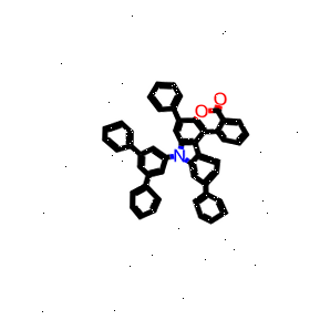 O=c1oc2c(-c3ccccc3)cc3c(c4ccc(-c5ccccc5)cc4n3-c3cc(-c4ccccc4)cc(-c4ccccc4)c3)c2c2ccccc12